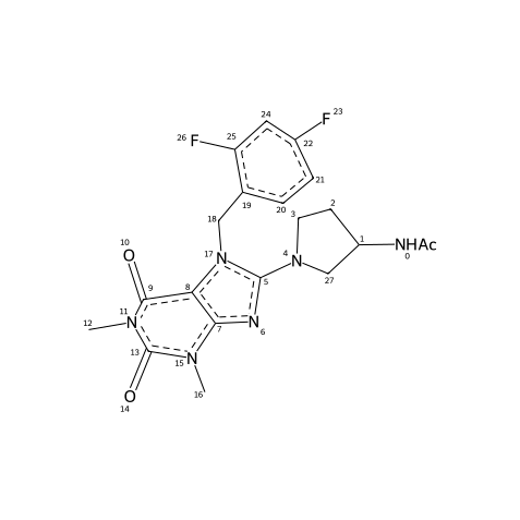 CC(=O)NC1CCN(c2nc3c(c(=O)n(C)c(=O)n3C)n2Cc2ccc(F)cc2F)C1